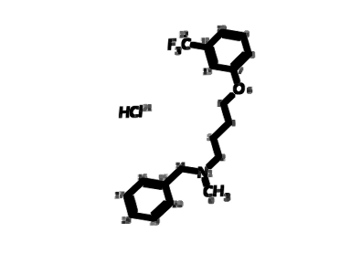 CN(CCCCOc1cccc(C(F)(F)F)c1)Cc1ccccc1.Cl